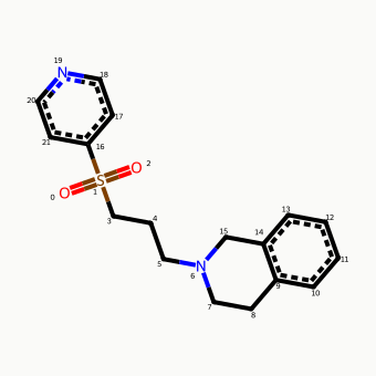 O=S(=O)(CCCN1CCc2ccccc2C1)c1ccncc1